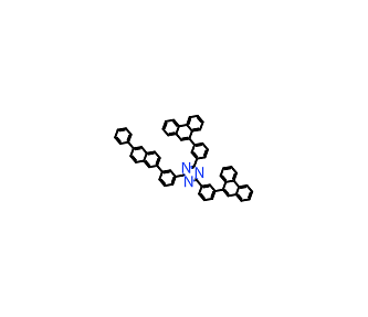 c1ccc(-c2ccc3cc(-c4cccc(-c5nc(-c6cccc(-c7cc8ccccc8c8ccccc78)c6)nc(-c6cccc(-c7cc8ccccc8c8ccccc78)c6)n5)c4)ccc3c2)cc1